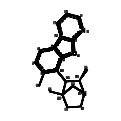 Cc1ccc2c(oc3ncccc32)c1C1[C@@H](C)N2CCC1(C)C2